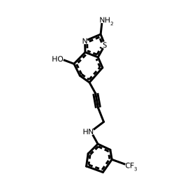 Nc1nc2c(O)cc(C#CCNc3cccc(C(F)(F)F)c3)cc2s1